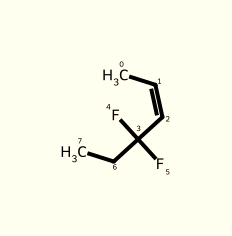 C/C=C\C(F)(F)CC